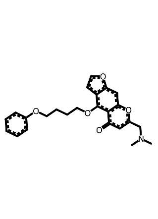 CN(C)Cc1cc(=O)c2c(OCCCCOc3ccccc3)c3ccoc3cc2o1